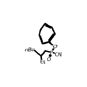 CCCCC(CC)CP(=O)(C#N)OC1=CC=CCC=C1